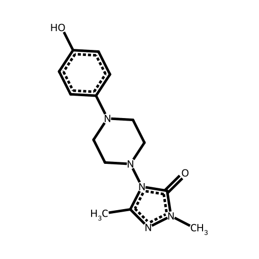 Cc1nn(C)c(=O)n1N1CCN(c2ccc(O)cc2)CC1